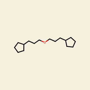 C1CCC(CCCOCCCC2CCCC2)C1